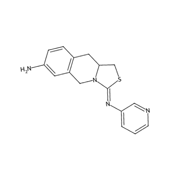 Nc1ccc2c(c1)CN1C(=Nc3cccnc3)SCC1C2